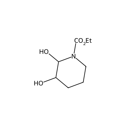 CCOC(=O)N1CCCC(O)C1O